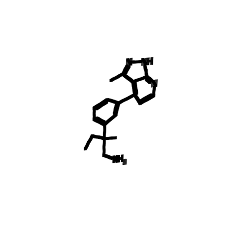 CCC(C)(CN)c1cccc(-c2ccnc3[nH]nc(C)c23)c1